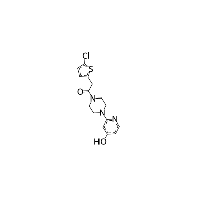 O=C(Cc1ccc(Cl)s1)N1CCN(c2cc(O)ccn2)CC1